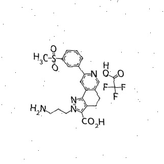 CS(=O)(=O)c1cccc(-c2cc3c(cn2)CCc2c-3nn(CCCN)c2C(=O)O)c1.O=C(O)C(F)(F)F